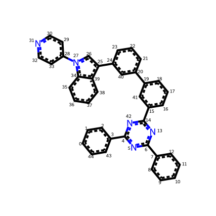 c1ccc(-c2nc(-c3ccccc3)nc(-c3cccc(-c4cccc(-c5cn(-c6ccncc6)c6ccccc56)c4)c3)n2)cc1